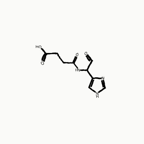 O=CC(NC(=O)CCC(=O)O)c1c[nH]cn1